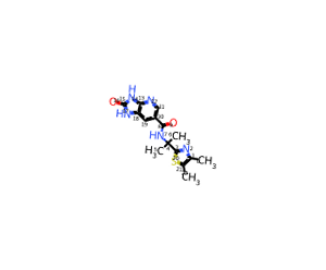 Cc1nc(C(C)(C)NC(=O)c2cnc3[nH]c(=O)[nH]c3c2)sc1C